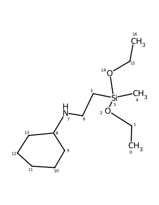 CCO[Si](C)(CCNC1CCCCC1)OCC